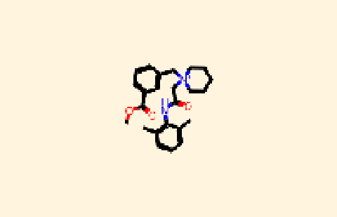 COC(=O)c1cccc(C[N+]2(CC(=O)Nc3c(C)cccc3C)CCCCC2)c1